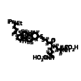 CCC(CCC(C)[C@H]1CC[C@H]2[C@@H]3CC=C4C[C@@H](SSCCC(=O)N(CCC(C)(C)NC(=O)O)CCC(C)(C)NC(=O)O)CC[C@]4(C)[C@H]3CC[C@]12C)C(C)C